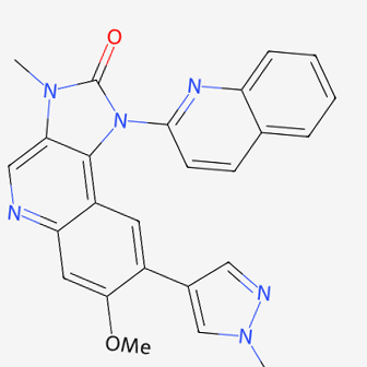 COc1cc2ncc3c(c2cc1-c1cnn(C)c1)n(-c1ccc2ccccc2n1)c(=O)n3C